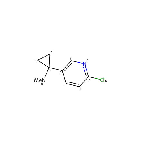 CNC1(c2ccc(Cl)nc2)CC1